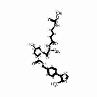 Cc1ncsc1-c1ccc(CNC(=O)[C@@H]2C[C@@H](O)CN2C(=O)[C@@H](NC(=O)CCCNC(=O)OC(C)(C)C)C(C)(C)C)cc1